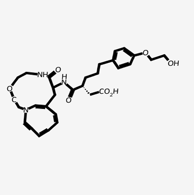 O=C(O)C[C@@H](CCCc1ccc(OCCO)cc1)C(=O)NC1Cc2ccccccn(c2)CCOCCNC1=O